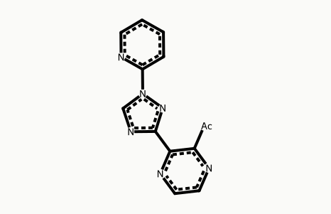 CC(=O)c1nccnc1-c1ncn(-c2ccccn2)n1